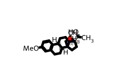 COc1ccc2c(c1)CC[C@@H]1[C@@H]2CC[C@@]2(C)C13CC[C@]2(C(C)O)C(C)C3